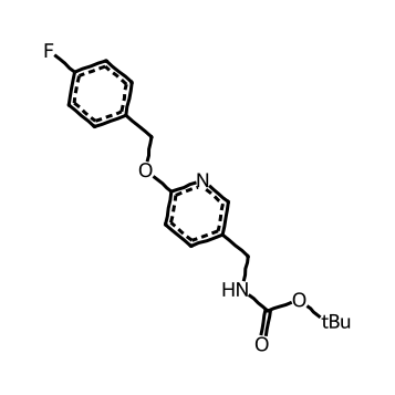 CC(C)(C)OC(=O)NCc1ccc(OCc2ccc(F)cc2)nc1